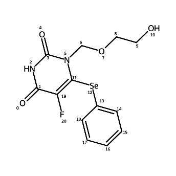 O=c1[nH]c(=O)n(COCCO)c([Se]c2ccccc2)c1F